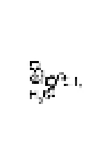 COc1cc(CCc2ccccc2C2=NCC=C2)cc(OC)c1